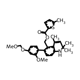 COCOc1ccc(-c2ccc3c(c2COC(=O)c2ccc(C)s2)C(C)=CC(C)(C)N3)c(OC)c1